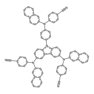 N#Cc1ccc(N(c2ccc(-n3c4ccc(N(c5ccc(C#N)cc5)c5ccc6ccccc6c5)cc4c4cc(N(c5ccc(C#N)cc5)c5ccc6ccccc6c5)ccc43)cc2)c2ccc3ccccc3c2)cc1